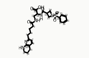 O=C(CCCCc1ccc2c(n1)NCCC2)NCC(NC(=O)C1CN(S(=O)(=O)c2ccccc2)C1)C(=O)O